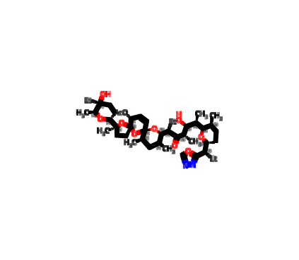 CC[C@@H](C(=O)[C@@H](C)[C@@H](O)[C@H](C)[C@@H]1O[C@@H]([C@@H](CC)c2nnco2)CC[C@@H]1C)[C@H]1O[C@]2(C=C[C@@H](OC(C)=O)[C@]3(CC[C@@](C)([C@H]4CC[C@](O)(CC)[C@H](C)O4)O3)O2)[C@H](C)C[C@@H]1C